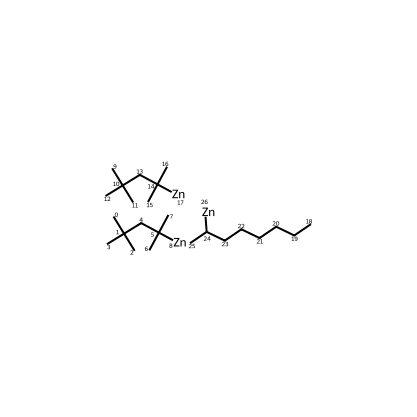 CC(C)(C)C[C](C)(C)[Zn].CC(C)(C)C[C](C)(C)[Zn].CCCCCC[CH](C)[Zn]